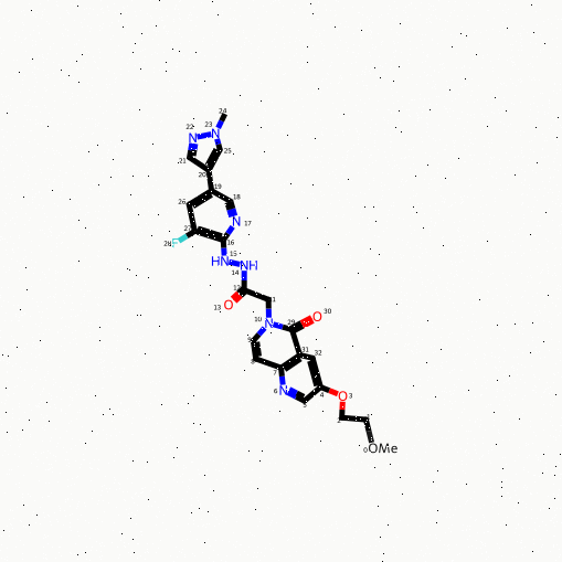 COCCOc1cnc2ccn(CC(=O)NNc3ncc(-c4cnn(C)c4)cc3F)c(=O)c2c1